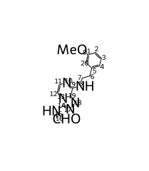 COc1cccc(CCNc2nccn3c(NC=O)nnc23)c1